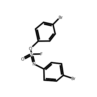 O=S(F)(=Nc1ccc(Br)cc1)Oc1ccc(Br)cc1